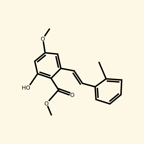 COC(=O)c1c(O)cc(OC)cc1C=Cc1ccccc1C